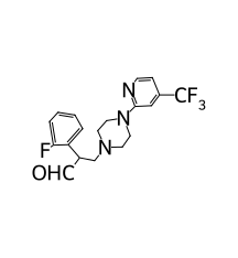 O=CC(CN1CCN(c2cc(C(F)(F)F)ccn2)CC1)c1ccccc1F